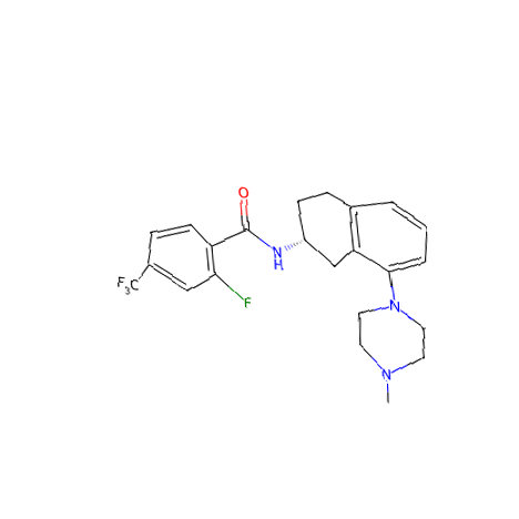 CN1CCN(c2cccc3c2C[C@H](NC(=O)c2ccc(C(F)(F)F)cc2F)CC3)CC1